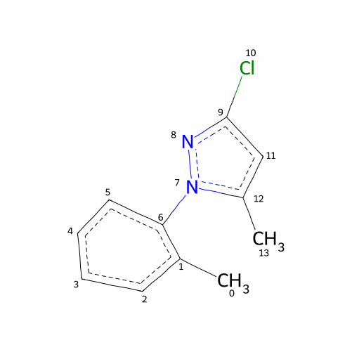 Cc1ccccc1-n1nc(Cl)cc1C